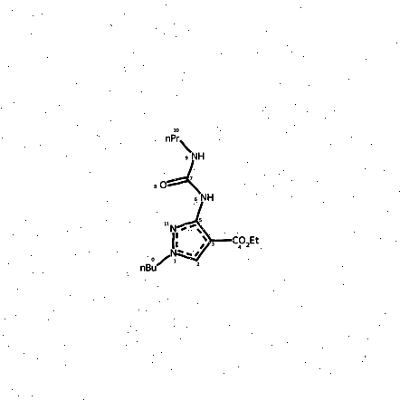 CCCCn1cc(C(=O)OCC)c(NC(=O)NCCC)n1